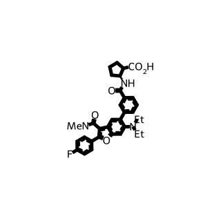 CCN(CC)c1cc2oc(-c3ccc(F)cc3)c(C(=O)NC)c2cc1-c1cccc(C(=O)N[C@H]2CCCC2C(=O)O)c1